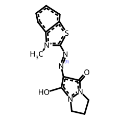 C[n+]1c(/N=N/c2c(O)n3n(c2=O)CCC3)sc2ccccc21